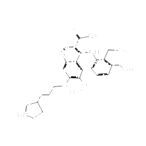 CCc1c(CO)cccc1Nc1c(C(N)=O)cnc2cc(OCCCC3CCNC3)c(OC)cc12